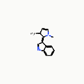 CN1C=CC(C(=O)O)C1=C1C=Nc2ccccc21